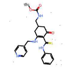 CC(C)(C)OC(=O)NCC1CC(=O)C(C(=S)Nc2ccccc2)=C(NCc2ccncc2)C1